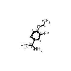 C[C@H](N)c1ccc(OCC(F)(F)F)c(F)c1